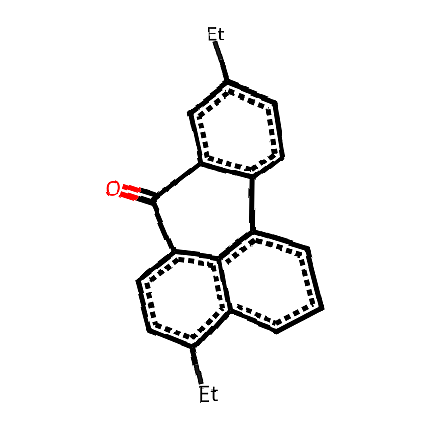 CCc1ccc2c(c1)C(=O)c1ccc(CC)c3cccc-2c13